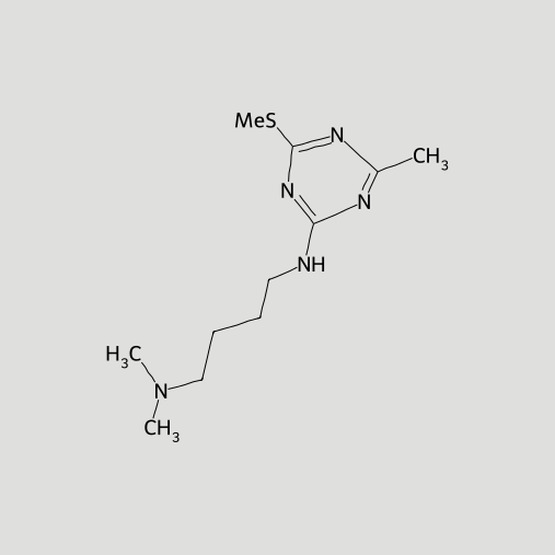 CSc1nc(C)nc(NCCCCN(C)C)n1